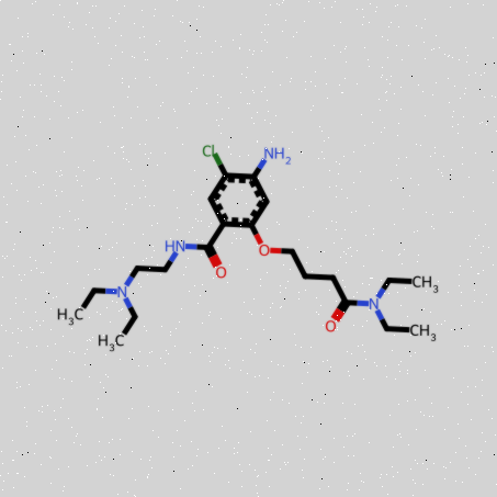 CCN(CC)CCNC(=O)c1cc(Cl)c(N)cc1OCCCC(=O)N(CC)CC